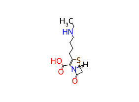 CCNCCCCC1=C(C(=O)O)N2C(=O)C[C@H]2S1